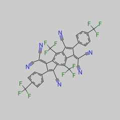 N#CC(C#N)=C1C(c2ccc(C(F)(F)F)cc2)=C(C#N)c2c1c(C(F)(F)F)c1c(c2C(F)(F)F)C(=C(C#N)C#N)C(c2ccc(C(F)(F)F)cc2)=C1C#N